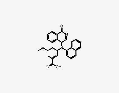 CCCCC(C=C(C)C(=O)O)N(c1cccc2ccccc12)C1C=NC(=O)c2ccccc21